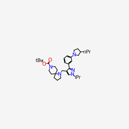 CCCC1CCN(c2cccc(-c3nn(C(C)C)cc3CN3CCCC34CCN(C(=O)OC(C)(C)C)CC4)c2)C1